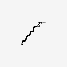 CCCCC=CCCCCCNCCCCC